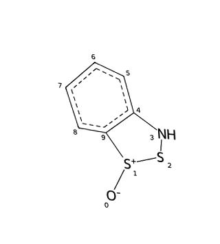 [O-][S+]1SNc2ccccc21